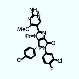 COc1nc(N)ncc1-c1nc2c(n1C(C)C)[C@@H](c1ccc(Cl)cc1)N(c1ccc(F)c(Cl)c1)C2=O